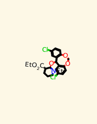 CCOC(=O)C1CCCN(CC)[C@@H]1OC1c2cc(Cl)ccc2OCOc2ccc(Cl)cc21